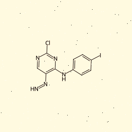 N=Nc1cnc(Cl)nc1Nc1ccc(I)cc1